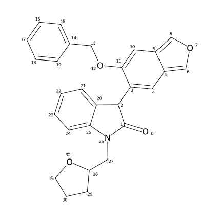 O=C1C(c2cc3cocc3cc2OCc2ccccc2)c2ccccc2N1CC1CCCO1